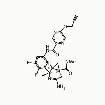 C#CCOc1cnc(C(=O)Nc2cc(F)c(F)c([C@@]3(C)N=C(N)S[C@@]4(C(=O)NC)C[C@H]43)c2)cn1